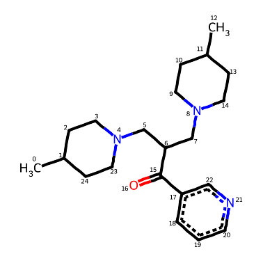 CC1CCN(CC(CN2CCC(C)CC2)C(=O)c2cccnc2)CC1